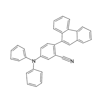 N#Cc1cc(N(c2ccccc2)c2ccccc2)ccc1-c1cc2ccccc2c2ccccc12